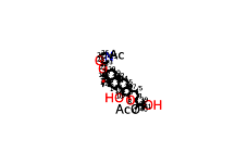 CC(=O)OC(C1C[C@@H](C)C2C(O1)[C@H](O)[C@@]1(C)C3CC[C@H]4C(C)(C)C(O[C@H]5CN(C(C)=O)CCO5)CCC45CC35CCC21C)C(C)(C)O